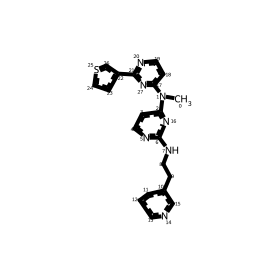 CN(c1ccnc(NCCc2cccnc2)n1)c1ccnc(-c2ccsc2)n1